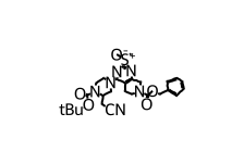 C[S+]([O-])c1nc2c(c(N3CCN(C(=O)OC(C)(C)C)C(CC#N)C3)n1)CCN(C(=O)OCc1ccccc1)C2